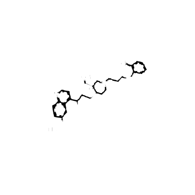 COc1ccc2nccc([C@@H](F)CC[C@@H]3CCN(CCCSc4ccccc4Cl)C[C@@H]3CO)c2c1